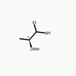 CCC([NH])[C@H](C)OC